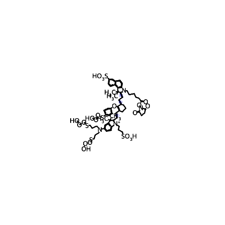 CC1(C)C(/C=C/C2=C(Oc3ccc(SOOO)cc3)C(=C/C=C3/N(CCCCCC(=O)ON4C(=O)CCC4=O)c4ccc5cc(S(=O)(=O)O)ccc5c4C3(C)C)/CCC2)=[N+](CCCS(=O)(=O)O)c2ccc(N(CCCSOOO)CCCSOOO)cc21